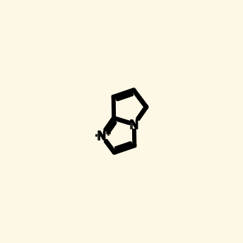 C1=CC2=[N+]C=CN2C1